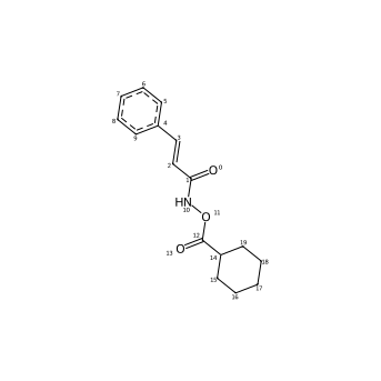 O=C(C=Cc1ccccc1)NOC(=O)C1CCCCC1